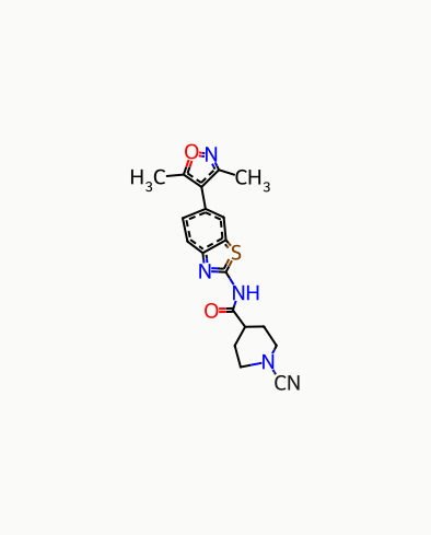 Cc1noc(C)c1-c1ccc2nc(NC(=O)C3CCN(C#N)CC3)sc2c1